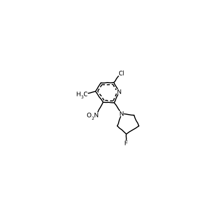 Cc1cc(Cl)nc(N2CCC(F)C2)c1[N+](=O)[O-]